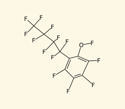 FOc1c(F)c(F)c(F)c(F)c1C(F)(F)C(F)(F)C(F)(F)C(F)(F)F